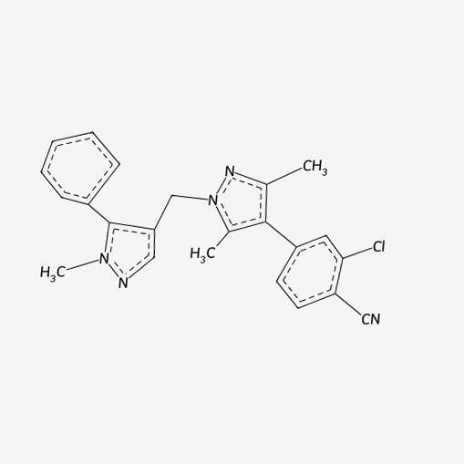 Cc1nn(Cc2cnn(C)c2-c2ccccc2)c(C)c1-c1ccc(C#N)c(Cl)c1